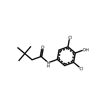 CC(C)(C)CC(=O)Nc1cc(Cl)c(O)c(Cl)c1